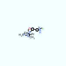 Cc1nc(CN(C)C)nc(N2CCOc3ccc(-c4ccc5[nH]c(CF)nc5c4)cc3C2)c1C(C)C